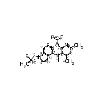 Cc1cc(C)c(Nc2nccc3c2ccn3CC(C)(F)F)c(OC(F)F)n1